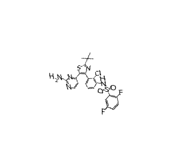 CC(C)(C)c1nc(-c2cccc(NS(=O)(=O)c3cc(F)ccc3F)c2Cl)c(-c2ccnc(N)n2)s1